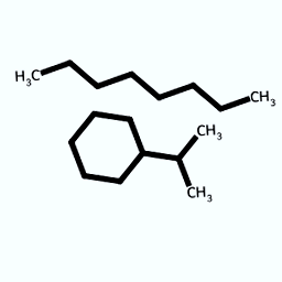 CC(C)C1CCCCC1.CCCCCCCC